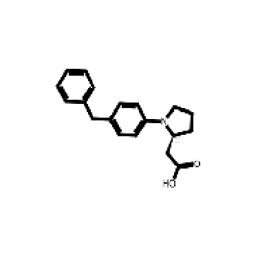 O=C(O)C[C@@H]1CCCN1c1ccc(Cc2ccccc2)cc1